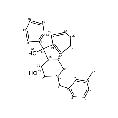 Cc1cccc(CN2CCC(C(O)(c3ccccc3)c3ccccc3)CC2)c1.Cl